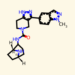 Cn1ncc2cc(-c3n[nH]c4c3CN(C(=O)NC3CC[C@@H]5CC[C@H]3N5)CC4)ccc21